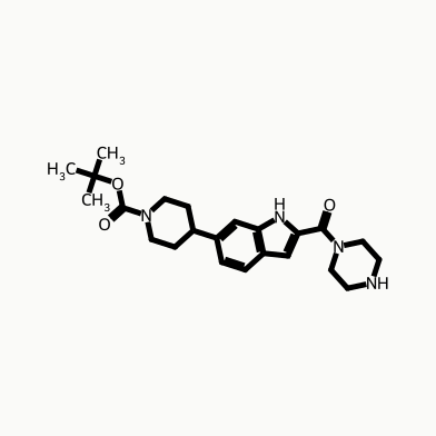 CC(C)(C)OC(=O)N1CCC(c2ccc3cc(C(=O)N4CCNCC4)[nH]c3c2)CC1